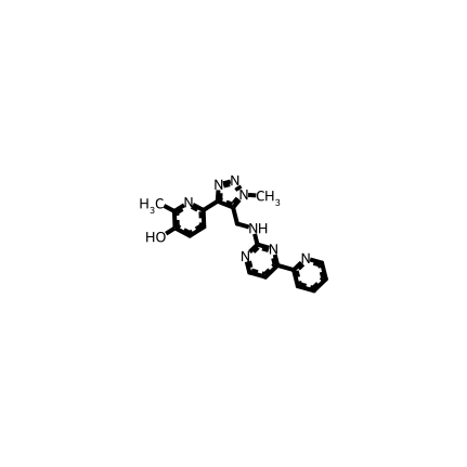 Cc1nc(-c2nnn(C)c2CNc2nccc(-c3ccccn3)n2)ccc1O